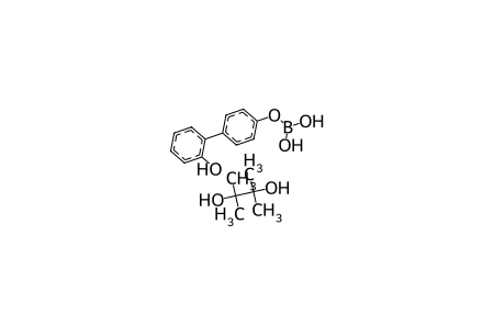 CC(C)(O)C(C)(C)O.OB(O)Oc1ccc(-c2ccccc2O)cc1